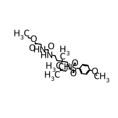 CCOC(=O)CNC(=O)NCCC(C)(C)CN(CC(C)C)S(=O)(=O)c1ccc(OC)cc1